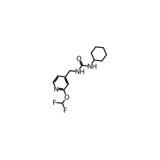 O=C(NCc1ccnc(OC(F)F)c1)NC1CCCCC1